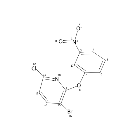 O=[N+]([O-])c1cccc(Oc2nc(Cl)ccc2Br)c1